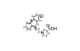 O=C(O)C1CCCN(CCSC2Cc3cc(Cl)ccc3Sc3ccccc32)C1